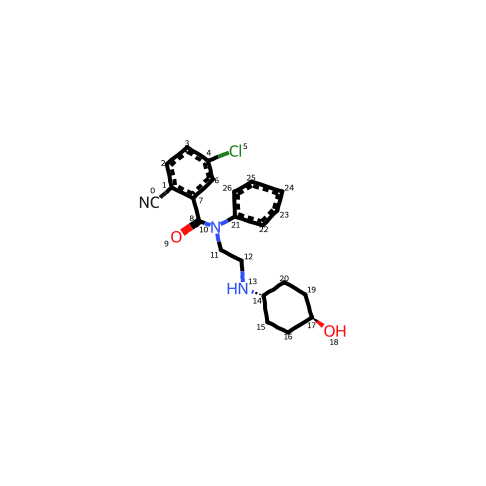 N#Cc1ccc(Cl)cc1C(=O)N(CCN[C@H]1CC[C@H](O)CC1)c1ccccc1